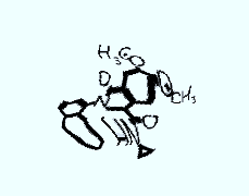 COc1cc2c(C(=O)NC3CC3)cn(-c3cccc4c3CCCC4)c(=O)c2cc1OC